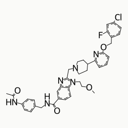 COCCn1c(CN2CCC(c3cccc(OCc4ccc(Cl)cc4F)n3)CC2)nc2cc(C(=O)NCc3ccc(NC(C)=O)cc3)ccc21